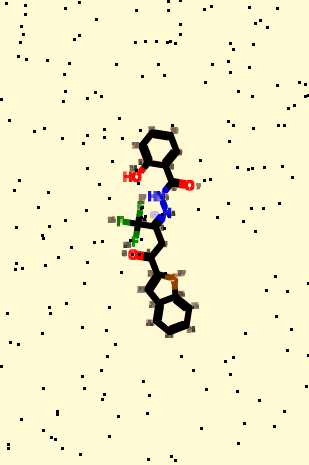 O=C(C/C(=N/NC(=O)c1ccccc1O)C(F)(F)F)c1cc2ccccc2s1